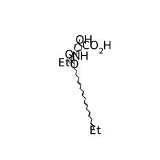 CCC=CCC=CCC=CCC=CCC=CCCCCO[C@@H](CC)C(=O)Nc1ccc(O)c(C(=O)O)c1